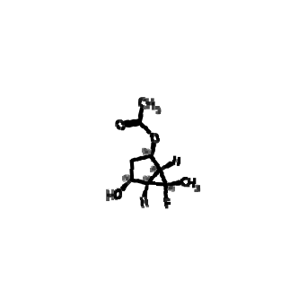 CC(=O)O[C@@H]1C[C@H](O)[C@@H]2[C@H]1[C@]2(C)F